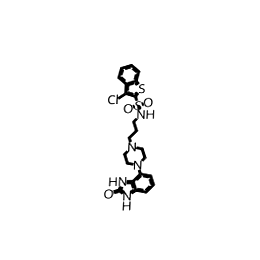 O=c1[nH]c2cccc(N3CCN(CCCNS(=O)(=O)c4sc5ccccc5c4Cl)CC3)c2[nH]1